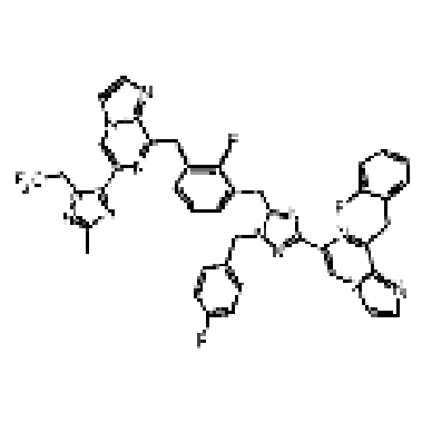 Cc1nc(-c2cn3ccnc3c(Cc3cccc(Cc4nc(-c5cn6ccnc6c(Cc6ccccc6F)n5)nn4Cc4ccc(F)cc4)c3F)n2)n(CC(F)(F)F)n1